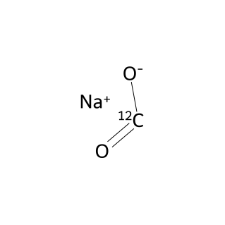 O=[12CH][O-].[Na+]